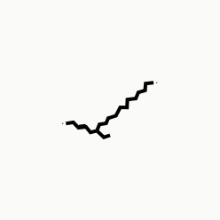 [CH2]CC=CCC(CC)CCCCCCCCCCC[CH2]